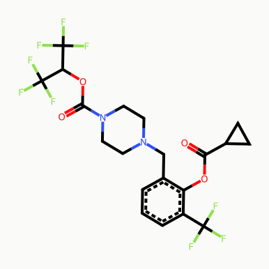 O=C(Oc1c(CN2CCN(C(=O)OC(C(F)(F)F)C(F)(F)F)CC2)cccc1C(F)(F)F)C1CC1